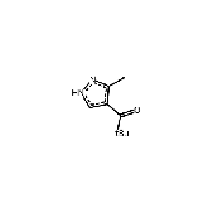 Cc1n[nH]cc1C(=O)C(C)(C)C